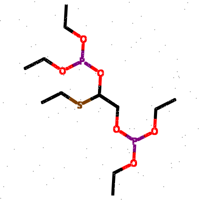 CCOP(OCC)OCC(OP(OCC)OCC)SCC